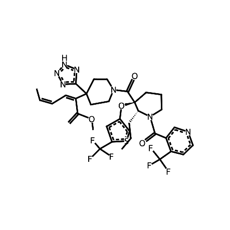 C=C(OC)/C(=C\C=C/C)C1(c2nn[nH]n2)CCN(C(=O)[C@]2(Oc3csc(C(F)(F)F)c3)CCCN(C(=O)c3cnccc3C(F)(F)F)[C@@H]2CCC)CC1